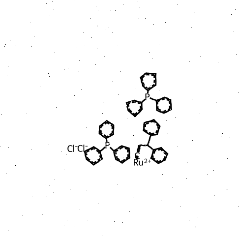 [Cl-].[Cl-].[Ru+2]=[C]=CC(c1ccccc1)c1ccccc1.c1ccc(P(c2ccccc2)c2ccccc2)cc1.c1ccc(P(c2ccccc2)c2ccccc2)cc1